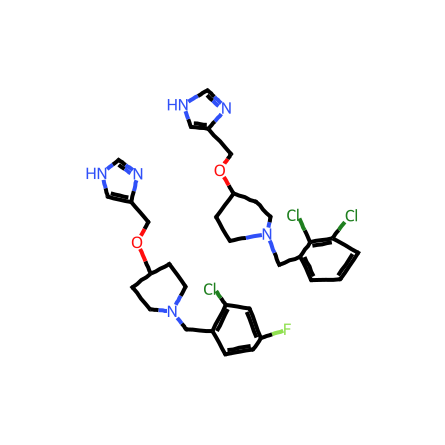 Clc1cccc(CN2CCC(OCc3c[nH]cn3)CC2)c1Cl.Fc1ccc(CN2CCC(OCc3c[nH]cn3)CC2)c(Cl)c1